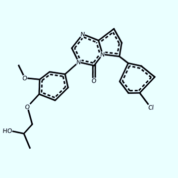 COc1cc(-n2cnc3ccc(-c4ccc(Cl)cc4)n3c2=O)ccc1OCC(C)O